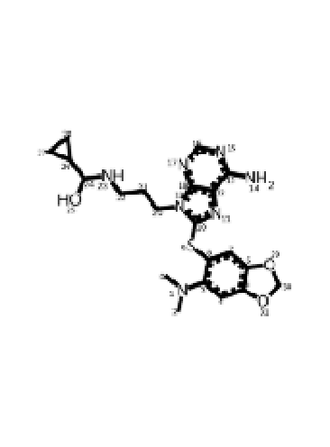 CN(C)c1cc2c(cc1Sc1nc3c(N)ncnc3n1CCCNC(O)C1CC1)OCO2